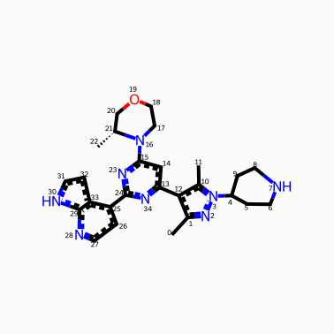 Cc1nn(C2CCNCC2)c(C)c1-c1cc(N2CCOC[C@H]2C)nc(-c2ccnc3[nH]ccc23)n1